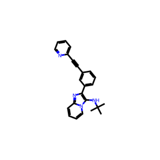 CC(C)(C)Nc1c(-c2cccc(C#Cc3ccccn3)c2)nc2ccccn12